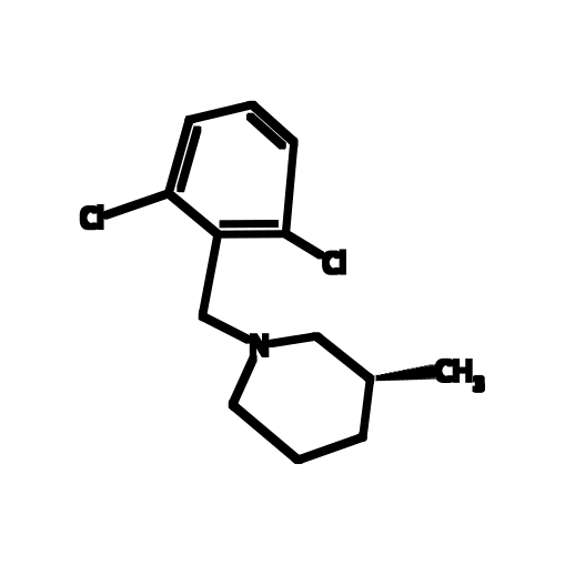 C[C@@H]1CCCN(Cc2c(Cl)cccc2Cl)C1